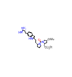 CCOC(=O)CC1CC(OC)CN1C(=O)N1CCC[C@H]1CCc1cc2ccc(CCC(=N)N)cc2[nH]1